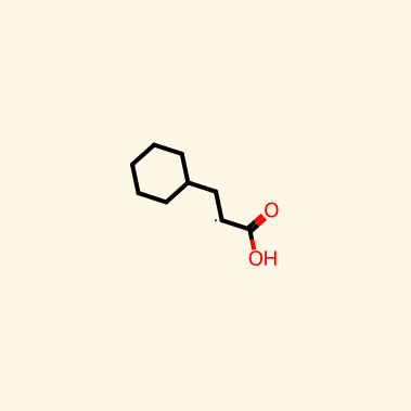 O=C(O)[CH]CC1CCCCC1